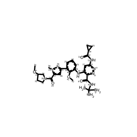 BC(B)(B)NC(=O)c1nnc(NC(=O)C2CC2)cc1Nc1cccc(-c2cc(C(=O)N3CCC(OC)C3)n(C)n2)c1OC